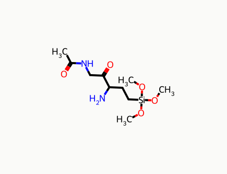 CO[Si](CCC(N)C(=O)CNC(C)=O)(OC)OC